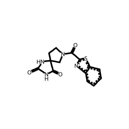 O=C1NC(=O)C2(CCN(C(=O)c3nc4ccccc4s3)C2)N1